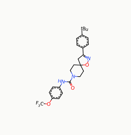 CC(C)(C)c1ccc(C2=NOC3(CCN(C(=O)Nc4ccc(OC(F)(F)F)cc4)CC3)C2)cc1